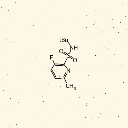 Cc1ccc(F)c(S(=O)(=O)NC(C)(C)C)n1